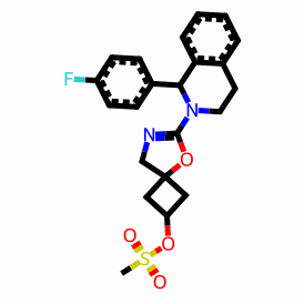 CS(=O)(=O)OC1CC2(CN=C(N3CCc4ccccc4C3c3ccc(F)cc3)O2)C1